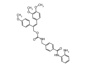 COc1ccc(/C(=C\c2ccc(OC)c(OC)c2)COC(=O)NCc2ccc(C(=O)Nc3ccccc3N)cc2)cc1